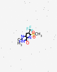 Cc1nc2cc(C(F)(F)F)c(S(C)(=O)=O)nc2c(=O)[nH]1